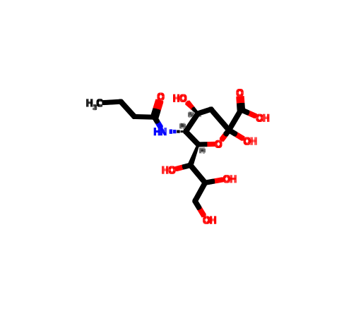 CCCC(=O)N[C@@H]1[C@@H](O)CC(O)(C(=O)O)O[C@H]1C(O)C(O)CO